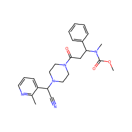 COC(=O)N(C)C(CC(=O)N1CCN(C(C#N)c2cccnc2C)CC1)c1ccccc1